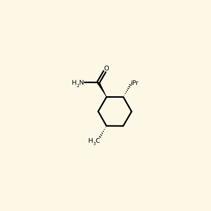 CC(C)[C@@H]1CC[C@H](C)C[C@H]1C(N)=O